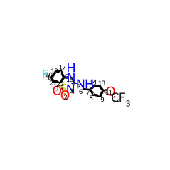 O=S1(=O)N=C(NCc2ccc(OC(F)(F)F)cc2)Nc2ccc(F)cc21